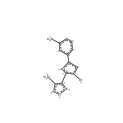 CCn1cc(-c2cccc(N)c2)nc1-c1nonc1N